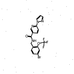 O=C(NCc1ccc(Br)cc1OC(F)(F)F)c1ccc(-n2cccn2)nc1